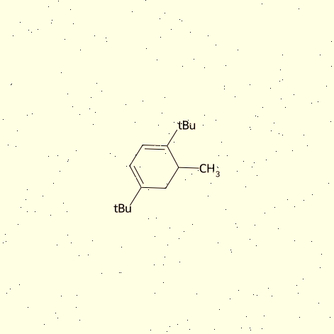 CC1CC(C(C)(C)C)=CC=C1C(C)(C)C